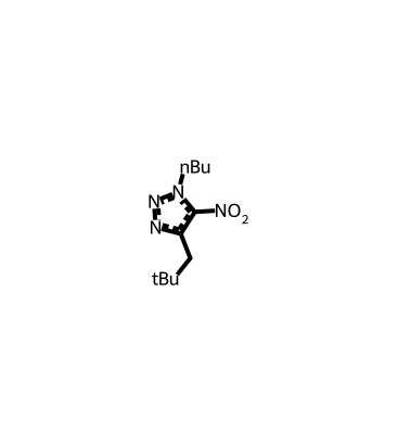 CCCCn1nnc(CC(C)(C)C)c1[N+](=O)[O-]